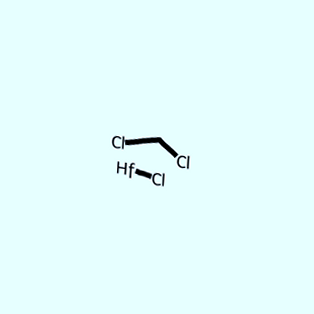 ClCCl.[Cl][Hf]